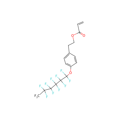 C=CC(=O)OCCc1ccc(OC(F)(F)C(F)(F)C(F)(F)C(F)(F)C(F)(F)C(F)(F)F)cc1